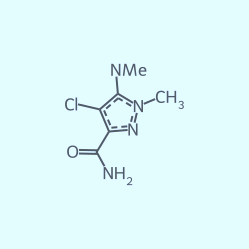 CNc1c(Cl)c(C(N)=O)nn1C